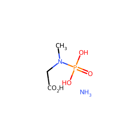 CN(CC(=O)O)P(=O)(O)O.N